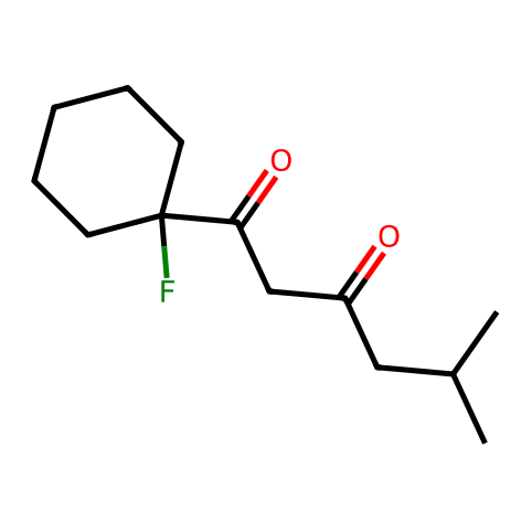 CC(C)CC(=O)CC(=O)C1(F)CCCCC1